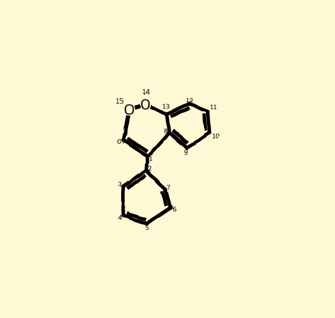 [C]1=C(c2ccccc2)c2ccccc2OO1